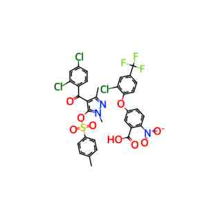 Cc1ccc(S(=O)(=O)Oc2c(C(=O)c3ccc(Cl)cc3Cl)c(C)nn2C)cc1.O=C(O)c1cc(Oc2ccc(C(F)(F)F)cc2Cl)ccc1[N+](=O)[O-]